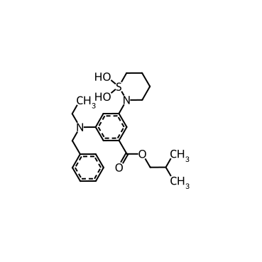 CCN(Cc1ccccc1)c1cc(C(=O)OCC(C)C)cc(N2CCCCS2(O)O)c1